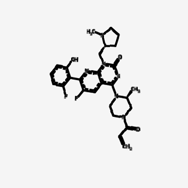 C=CC(=O)N1CCN(c2nc(=O)n(C[C@@H]3CCCN3C)c3nc(-c4c(O)cccc4F)c(F)cc23)[C@@H](C)C1